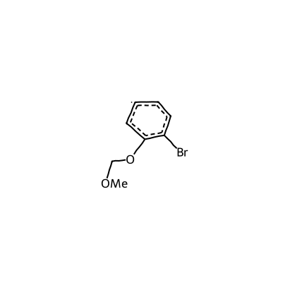 COCOc1c[c]ccc1Br